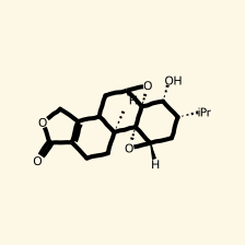 CC(C)[C@@H]1C[C@@H]2O[C@]23[C@]2(O[C@H]2CC2C4=C(CC[C@@]23C)C(=O)OC4)[C@@H]1O